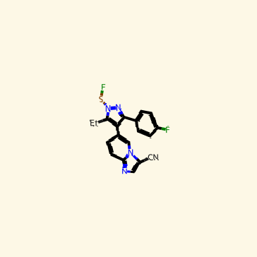 CCc1c(-c2ccc3ncc(C#N)n3c2)c(-c2ccc(F)cc2)nn1SF